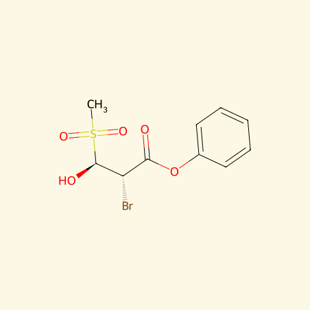 CS(=O)(=O)[C@H](O)[C@@H](Br)C(=O)Oc1ccccc1